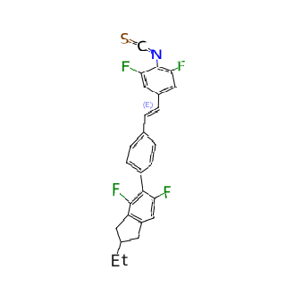 CCC1Cc2cc(F)c(-c3ccc(/C=C/c4cc(F)c(N=C=S)c(F)c4)cc3)c(F)c2C1